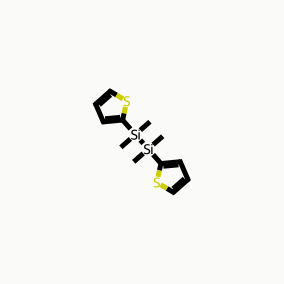 C[Si](C)(c1cccs1)[Si](C)(C)c1cccs1